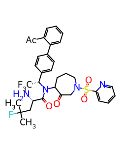 CC(=O)c1ccccc1-c1ccc([C@H](N(C(=O)[C@@H](N)CC(C)(C)F)C2CCCN(S(=O)(=O)c3ccccn3)CC2=O)C(F)(F)F)cc1